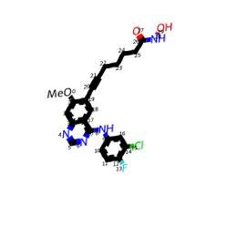 COc1cc2ncnc(Nc3ccc(F)c(Cl)c3)c2cc1C#CCCCCC(=O)NO